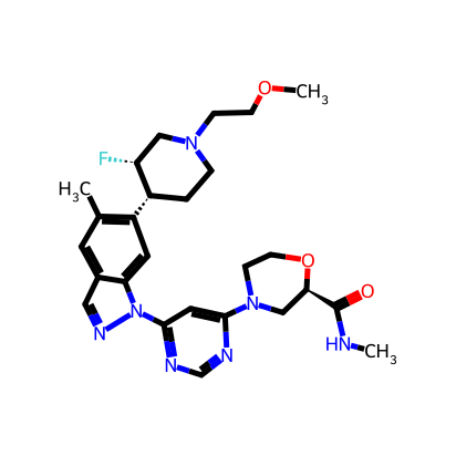 CNC(=O)[C@H]1CN(c2cc(-n3ncc4cc(C)c([C@H]5CCN(CCOC)C[C@H]5F)cc43)ncn2)CCO1